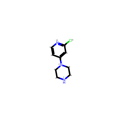 Clc1cc(N2CCNCC2)ccn1